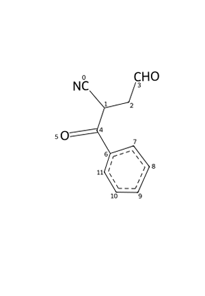 N#CC(CC=O)C(=O)c1ccccc1